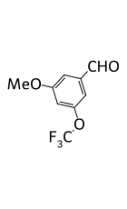 COc1cc(C=O)cc(OC(F)(F)F)c1